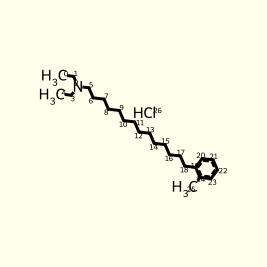 CCN(CC)CCCCCCCCCCCCCCc1ccccc1C.Cl